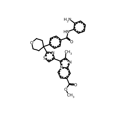 COC(=O)c1ccn2c(-c3csc(C4(c5ccc(C(=O)Nc6ccccc6N)cc5)CCOCC4)n3)c(C)nc2c1